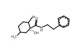 CC1CCC(C(C)C)[C@@](O)(C(=O)NCCc2ccccc2)C1